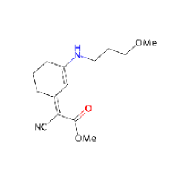 COCCCNC1=C/C(=C(/C#N)C(=O)OC)CCC1